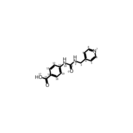 O=C(NCc1ccncc1)Nc1ccc(C(=O)O)cc1